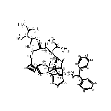 CC(C)[C@H](O)C(=O)N[C@H]1Cc2ccc3c(c2)C2(c4ccccc4N[C@H]2O3)c2oc(nc2C(=O)NCC(c2ccccc2)c2ccccc2)[C@H](C(C)C)NC1=O